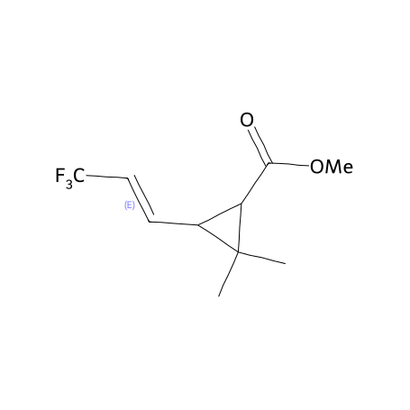 COC(=O)C1C(/C=C/C(F)(F)F)C1(C)C